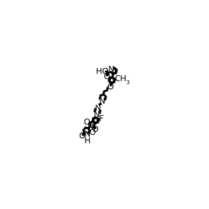 Cc1cc(OCCCC2CCN(CCN3CCN(c4cc5c(cc4F)C(=O)N(C4CCC(=O)NC4=O)C5=O)CC3)CC2)ccc1-c1cccnc1C(=O)O